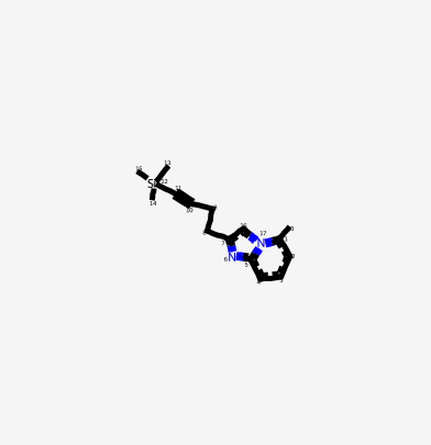 Cc1cccc2nc(CCC#C[Si](C)(C)C)cn12